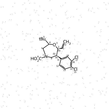 C=C[C@@H]1OC(C(C)(C)C)CN(C(=O)O)C[C@@H]1c1ccc(Cl)c(Cl)c1